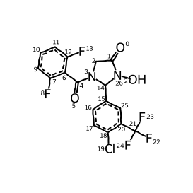 O=C1CN(C(=O)c2c(F)cccc2F)C(c2ccc(Cl)c(C(F)(F)F)c2)N1O